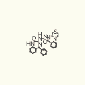 O=C1Nc2ccccc2C(c2ccccc2)=NC1Nc1nnc(-c2ccccc2N2CCSCC2)o1